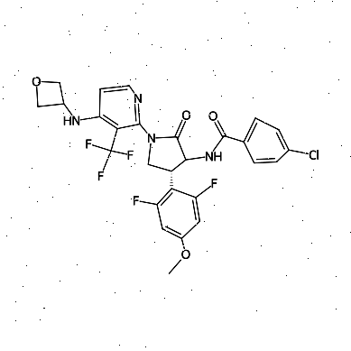 COc1cc(F)c([C@@H]2CN(c3nccc(NC4COC4)c3C(F)(F)F)C(=O)C2NC(=O)c2ccc(Cl)cc2)c(F)c1